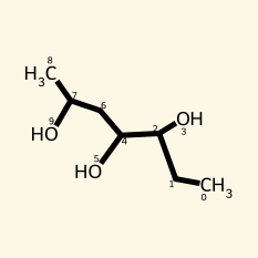 CCC(O)C(O)CC(C)O